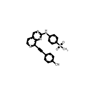 CS(=O)(=O)c1ccc(Nc2ncc3ccnc(C#Cc4ccc(C#N)cc4)c3n2)cc1